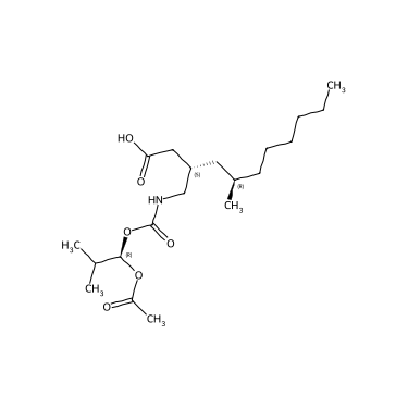 CCCCCC[C@@H](C)C[C@H](CNC(=O)O[C@@H](OC(C)=O)C(C)C)CC(=O)O